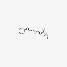 CCC(C)(C)C(=O)OCOCCOC1CCCCC1